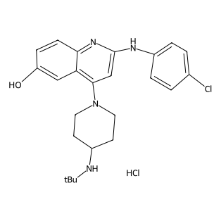 CC(C)(C)NC1CCN(c2cc(Nc3ccc(Cl)cc3)nc3ccc(O)cc23)CC1.Cl